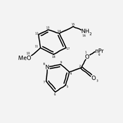 CCCOC(=O)c1cccnc1.COc1ccc(CN)cc1